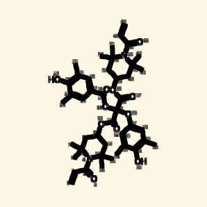 C=CC(=O)N1C(C)(C)CC(OC(=O)C(OC(=O)c2cc(C)c(O)c(C)c2)(Oc2cc(C)c(O)c(C)c2)C(=O)OC2CC(C)(C)N(C(=O)C=C)C(C)(C)C2)CC1(C)C